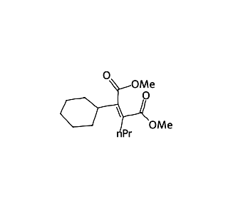 CCC/C(C(=O)OC)=C(/C(=O)OC)C1CCCCC1